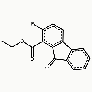 CCOC(=O)c1c(F)ccc2c1C(=O)c1ccccc1-2